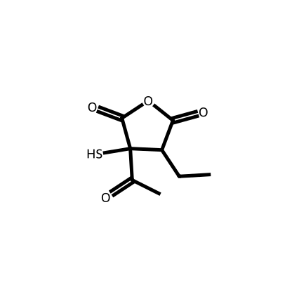 CCC1C(=O)OC(=O)C1(S)C(C)=O